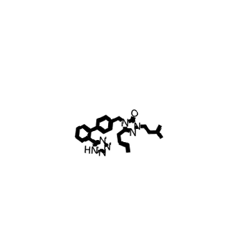 C/C=C/Cc1nn(CCC(C)C)c(=O)n1Cc1ccc(-c2ccccc2-c2nnn[nH]2)cc1